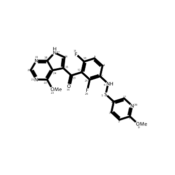 COc1ccc(SNc2ccc(F)c(C(=O)c3c[nH]c4ncnc(OC)c34)c2F)cn1